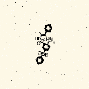 C[C@H](NS(=O)(=O)c1cc(S(=O)(=O)c2ccccc2)ccc1C(F)(F)F)[C@H](O)c1ccccc1